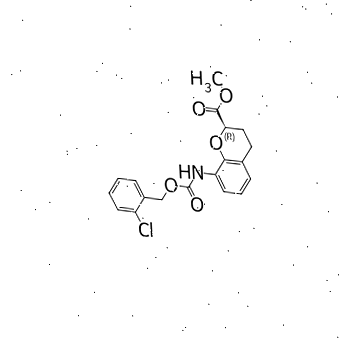 COC(=O)[C@H]1CCc2cccc(NC(=O)OCc3ccccc3Cl)c2O1